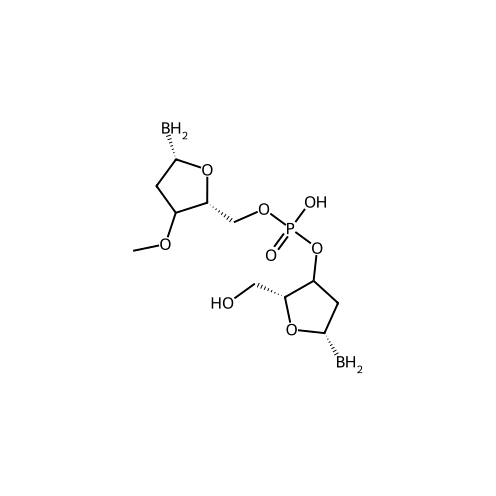 B[C@H]1CC(OC)[C@@H](COP(=O)(O)OC2C[C@H](B)O[C@@H]2CO)O1